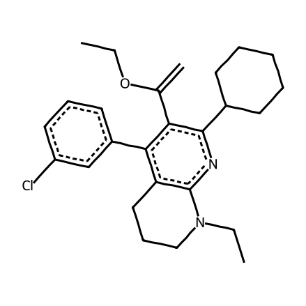 C=C(OCC)c1c(C2CCCCC2)nc2c(c1-c1cccc(Cl)c1)CCCN2CC